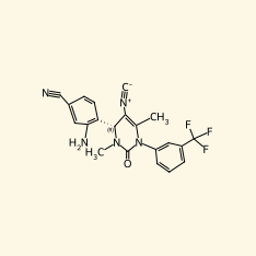 [C-]#[N+]C1=C(C)N(c2cccc(C(F)(F)F)c2)C(=O)N(C)[C@@H]1c1ccc(C#N)cc1N